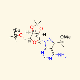 CO[C@H](C)c1nn([C@@H]2O[C@H](CO[Si](C)(C)C(C)(C)C)[C@H]3OC(C)(C)O[C@H]32)c2ncnc(N)c12